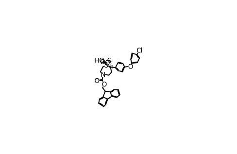 O=C(O)C[C@]1(c2ccc(Oc3ccc(Cl)cc3)cc2)CCN(C(=O)OCC2c3ccccc3-c3ccccc32)CCS1(=O)=O